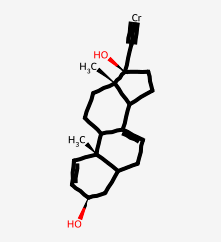 C[C@]12C=C[C@H](O)CC1CC=C1C2CC[C@@]2(C)C1CC[C@@]2(O)[C]#[Cr]